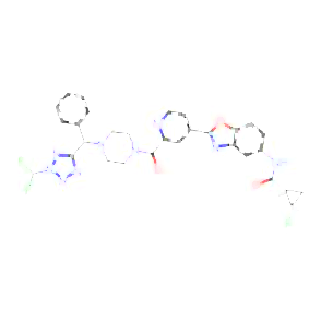 O=C(Nc1ccc2oc(-c3ccnc(C(=O)N4CCN(C(c5ccccc5)c5nnn(C(F)F)n5)CC4)c3)nc2c1)[C@@H]1C[C@@H]1F